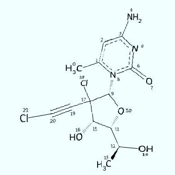 Cc1cc(N)nc(=O)n1[C@@H]1O[C@H]([C@H](C)O)[C@H](O)C1(Cl)C#CCl